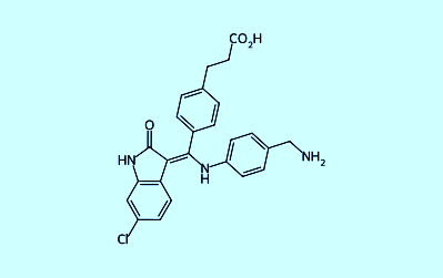 NCc1ccc(NC(=C2C(=O)Nc3cc(Cl)ccc32)c2ccc(CCC(=O)O)cc2)cc1